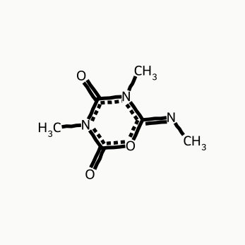 C/N=c1\oc(=O)n(C)c(=O)n1C